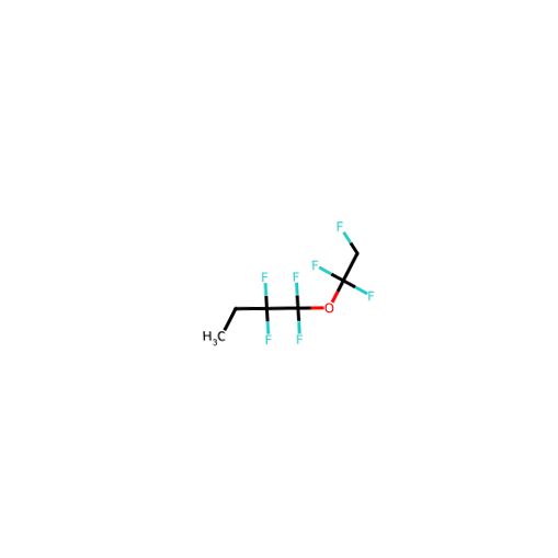 CCC(F)(F)C(F)(F)OC(F)(F)CF